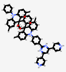 Cc1ccc2c(c1)C1(c3cc(C)ccc3N2c2ccccc2)c2ccccc2C2(c3cc(C)ccc3N(c3ccc(-c4nc(-c5ccncc5)cc(-c5ccncc5)n4)cc3)c3ccc(C)cc32)c2ccccc21